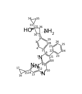 N[C@]1(c2ccc(-c3nc4c(cnc5cc(C6CC6)nn54)cc3-c3ccccc3)cc2)C[C@](O)(C2CC2)C1